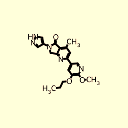 CCCOc1cc(-c2cc(C)c3c(n2)CN(c2cn[nH]c2)C3=O)cnc1OC